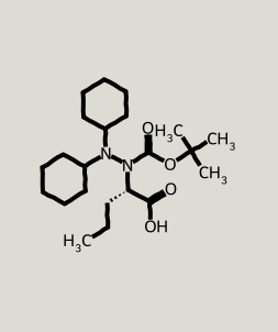 CCC[C@@H](C(=O)O)N(C(=O)OC(C)(C)C)N(C1CCCCC1)C1CCCCC1